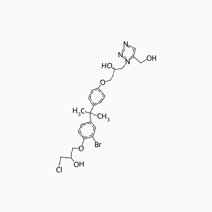 CC(C)(c1ccc(OCC(O)Cn2nncc2CO)cc1)c1ccc(OCC(O)CCl)c(Br)c1